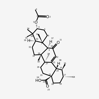 CC(=O)O[C@@H]1CC[C@]2(C)[C@H]3C(=O)C=C4[C@@H]5[C@@H](C)[C@H](C)CC[C@]5(C(=O)O)CC[C@@]4(C)[C@]3(C)CC[C@H]2C1(C)C